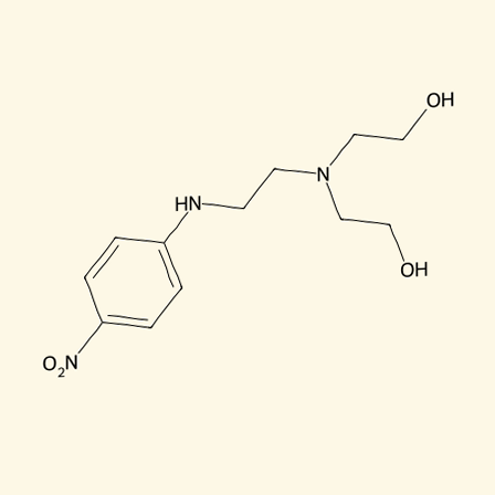 O=[N+]([O-])c1ccc(NCCN(CCO)CCO)cc1